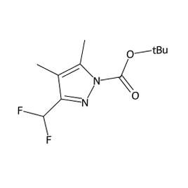 Cc1c(C(F)F)nn(C(=O)OC(C)(C)C)c1C